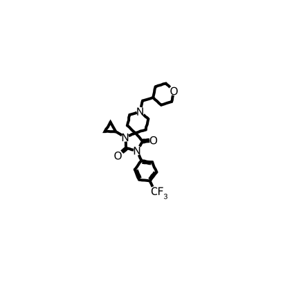 O=C1N(c2ccc(C(F)(F)F)cc2)C(=O)C2(CCN(CC3CCOCC3)CC2)N1C1CC1